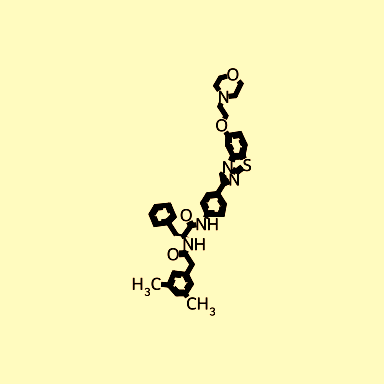 Cc1cc(C)cc(CC(=O)N[C@@H](Cc2ccccc2)C(=O)Nc2ccc(-c3cn4c(n3)sc3ccc(OCCN5CCOCC5)cc34)cc2)c1